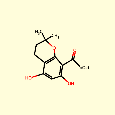 CCCCCCCCC(=O)c1c(O)cc(O)c2c1OC(C)(C)CC2